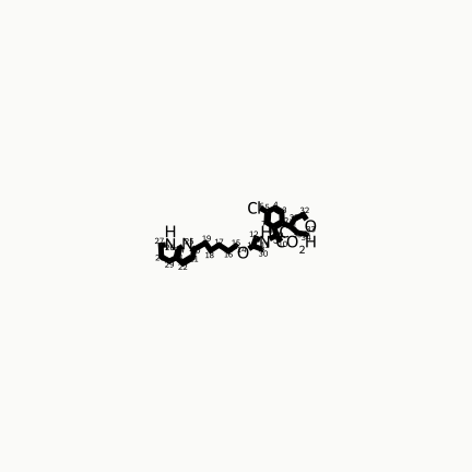 CC1(c2ccc(Cl)cc2C(C(=O)O)N2CC(OCCCCCc3ccc4c(n3)NCCC4)C2)CCOCC1